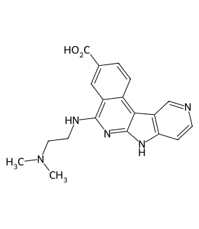 CN(C)CCNc1nc2[nH]c3ccncc3c2c2ccc(C(=O)O)cc12